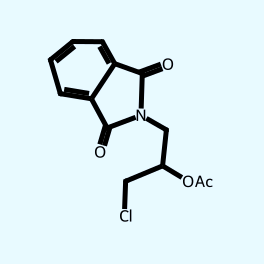 CC(=O)OC(CCl)CN1C(=O)c2ccccc2C1=O